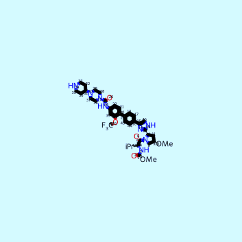 COC(=O)N[C@H](C(=O)N1C[C@@H](OC)C[C@H]1c1nc(-c2ccc(-c3ccc(NC(=O)N4CCN(C5CCNCC5)CC4)cc3OC(F)(F)F)cc2)c[nH]1)C(C)C